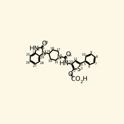 O=C(O)Oc1sc(-c2ccccc2)cc1NC(=O)N1CCC(n2c(=O)[nH]c3ccccc32)CC1